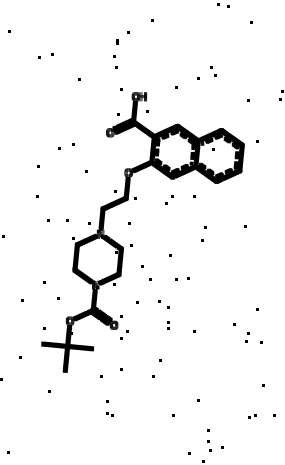 CC(C)(C)OC(=O)N1CCN(CCOc2cc3ccccc3cc2C(=O)O)CC1